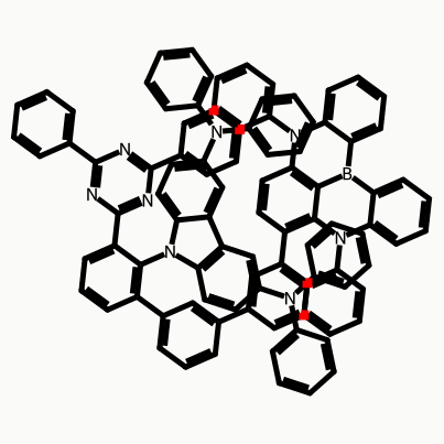 c1ccc(-c2nc(-c3ccccc3)nc(-c3cccc(-c4cccc(-c5cccc(-c6ccc7c8c6N(c6ccccc6)c6ccccc6B8c6ccccc6N7c6ccccc6)c5)c4)c3-n3c4ccc(N(c5ccccc5)c5ccccc5)cc4c4cc(N(c5ccccc5)c5ccccc5)ccc43)n2)cc1